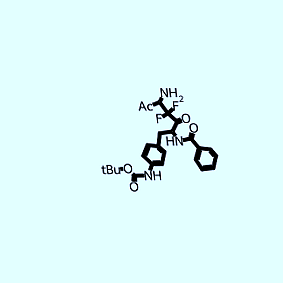 CC(=O)C(N)C(F)(F)C(=O)C(Cc1ccc(NC(=O)OC(C)(C)C)cc1)NC(=O)c1ccccc1